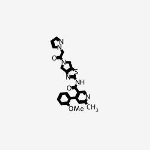 COc1ccccc1-c1cc(C)ncc1C(=O)Nc1nc2c(s1)CN(C(=O)Cn1cccn1)C2